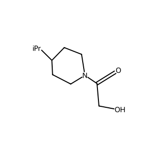 CC(C)C1CCN(C(=O)CO)CC1